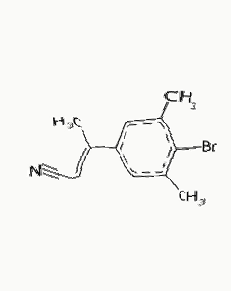 CC(=CC#N)c1cc(C)c(Br)c(C)c1